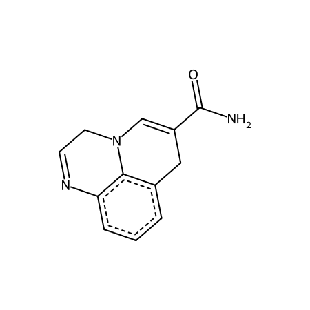 NC(=O)C1=CN2CC=Nc3cccc(c32)C1